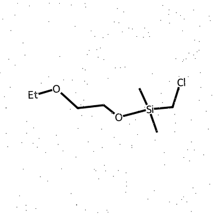 CCOCCO[Si](C)(C)CCl